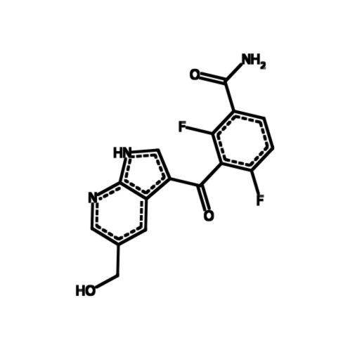 NC(=O)c1ccc(F)c(C(=O)c2c[nH]c3ncc(CO)cc23)c1F